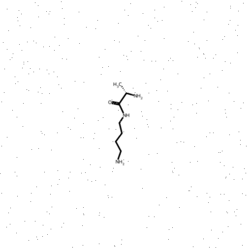 C[C@H](N)C(=O)NCCCCN